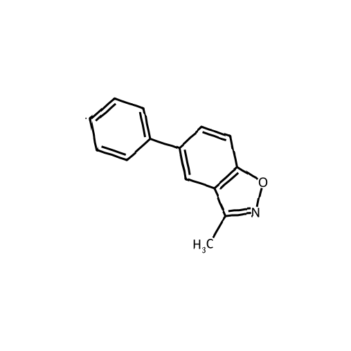 Cc1noc2ccc(-c3cc[c]cc3)cc12